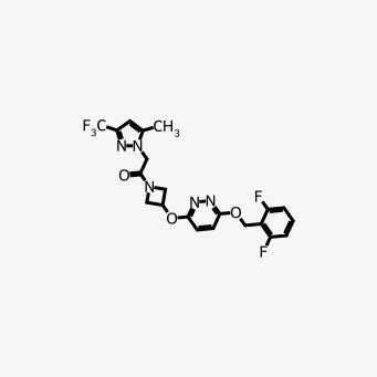 Cc1cc(C(F)(F)F)nn1CC(=O)N1CC(Oc2ccc(OCc3c(F)cccc3F)nn2)C1